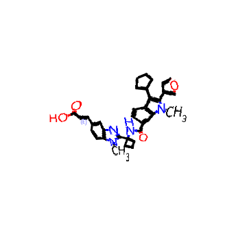 Cn1c(C2(NC(=O)c3ccc4c(C5CCCC5)c(-c5ccoc5)n(C)c4c3)CCC2)nc2cc(/C=C/C(=O)O)ccc21